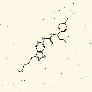 COCCOc1n[nH]c2cc(NC(=O)NC(COC)c3ccc(F)cc3)ncc12